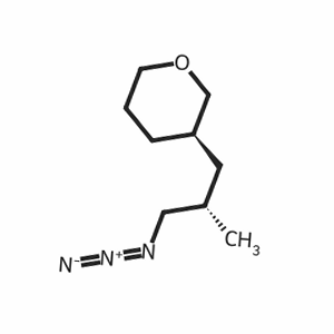 C[C@H](CN=[N+]=[N-])C[C@H]1CCCOC1